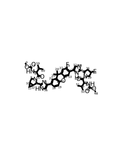 COC(=O)N[C@H](C(=O)N1CC2CC2C1c1nc(-c2ccc3c(c2)C(C)(C)c2cc(F)c(-c4cnc([C@@H]5CC(F)CN5C(=O)[C@@H](NC(=O)OC)C(C)C)[nH]4)cc2O3)c[nH]1)C(C)C